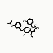 COC1=CS(=O)(=O)N(c2cccc(F)c2)[C@@]12CCN(Cc1cccc(OC(C)C)c1)[C@@H](C)C2